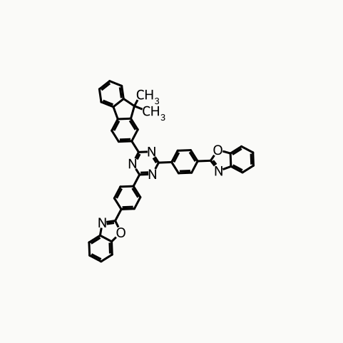 CC1(C)c2ccccc2-c2ccc(-c3nc(-c4ccc(-c5nc6ccccc6o5)cc4)nc(-c4ccc(-c5nc6ccccc6o5)cc4)n3)cc21